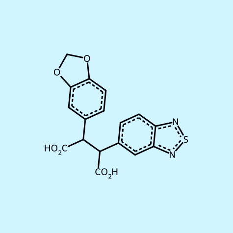 O=C(O)C(c1ccc2c(c1)OCO2)C(C(=O)O)c1ccc2nsnc2c1